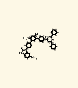 CC1Nc2ccc(N)cc2N1c1ccc(-c2cc(-c3ccc(C4C=C(c5ccccc5)N=C(c5ccccc5)N4)cc3)c(N)cc2N)cc1